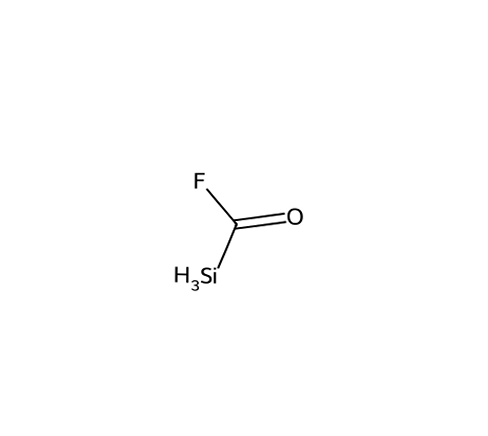 O=C(F)[SiH3]